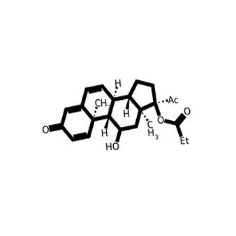 CCC(=O)O[C@]1(C(C)=O)CC[C@H]2[C@@H]3C=CC4=CC(=O)C=C[C@]4(C)[C@H]3C(O)C[C@@]21C